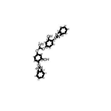 CCCC(Oc1ccc(-n2n3c4ccccc4n23)c(O)c1)Oc1ccc(-n2n3c4ccccc4n23)c(O)c1